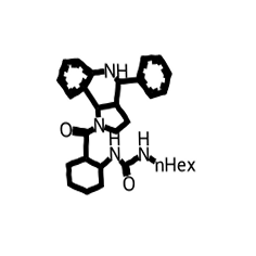 CCCCCCNC(=O)NC1CCCCC1C(=O)N1CCC2C(c3ccccc3)Nc3ccccc3C21